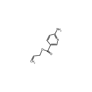 C=CCOC(=O)c1ccc(N)nc1